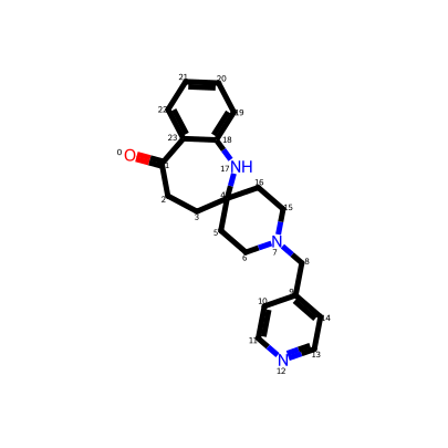 O=C1CCC2(CCN(Cc3ccncc3)CC2)Nc2ccccc21